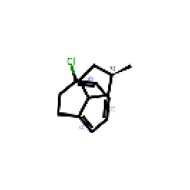 C[C@@H]1CCC(\C2=C/C=C\C=C(\Cl)CC2)C1